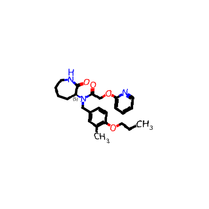 CCCOc1ccc(CN(C(=O)COc2ccccn2)[C@H]2CCCCNC2=O)cc1C